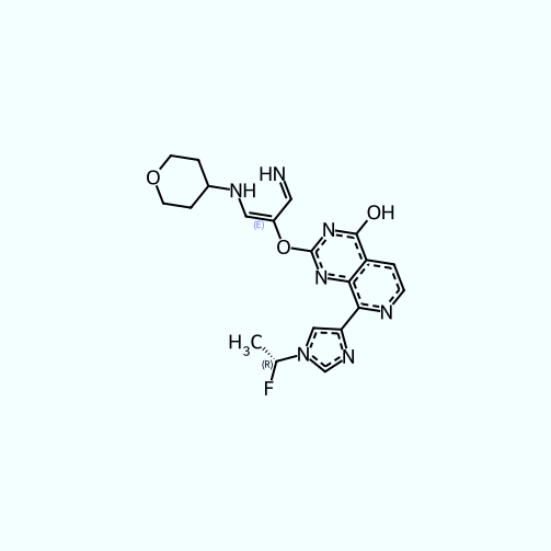 C[C@@H](F)n1cnc(-c2nccc3c(O)nc(O/C(C=N)=C/NC4CCOCC4)nc23)c1